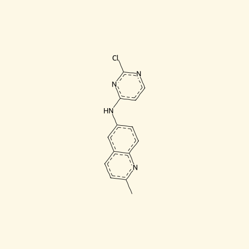 Cc1ccc2cc(Nc3ccnc(Cl)n3)ccc2n1